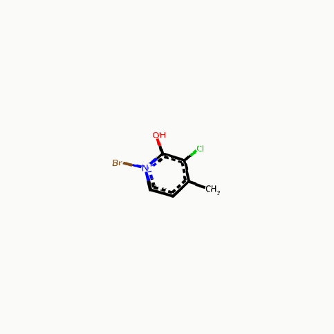 Cc1cc[n+](Br)c(O)c1Cl